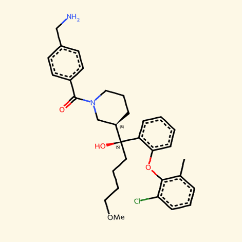 COCCCC[C@@](O)(c1ccccc1Oc1c(C)cccc1Cl)[C@@H]1CCCN(C(=O)c2ccc(CN)cc2)C1